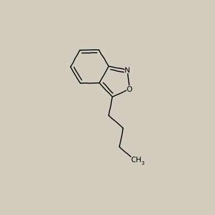 CCCCc1onc2ccccc12